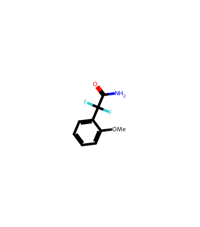 COc1ccccc1C(F)(F)C(N)=O